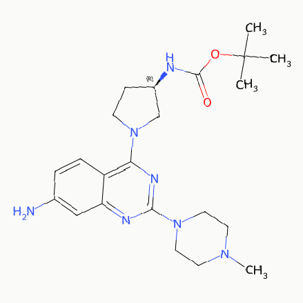 CN1CCN(c2nc(N3CC[C@@H](NC(=O)OC(C)(C)C)C3)c3ccc(N)cc3n2)CC1